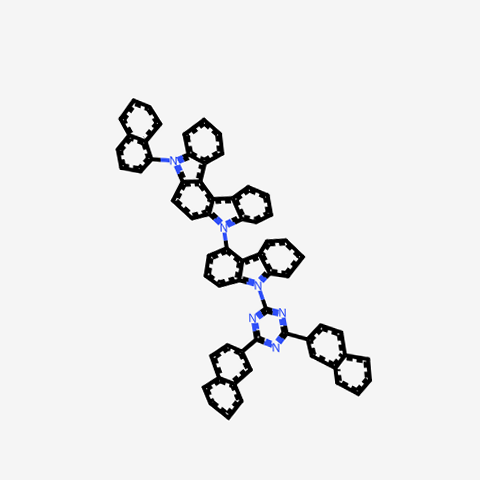 c1ccc2cc(-c3nc(-c4ccc5ccccc5c4)nc(-n4c5ccccc5c5c(-n6c7ccccc7c7c8c9ccccc9n(-c9cccc%10ccccc9%10)c8ccc76)cccc54)n3)ccc2c1